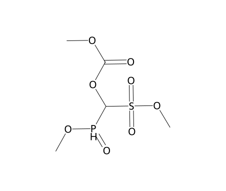 COC(=O)OC([PH](=O)OC)S(=O)(=O)OC